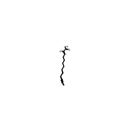 CC#CCCCCCCCC=C(F)C(=O)O